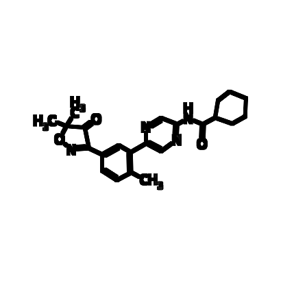 Cc1ccc(C2=NOC(C)(C)C2=O)cc1-c1cnc(NC(=O)C2CCCCC2)cn1